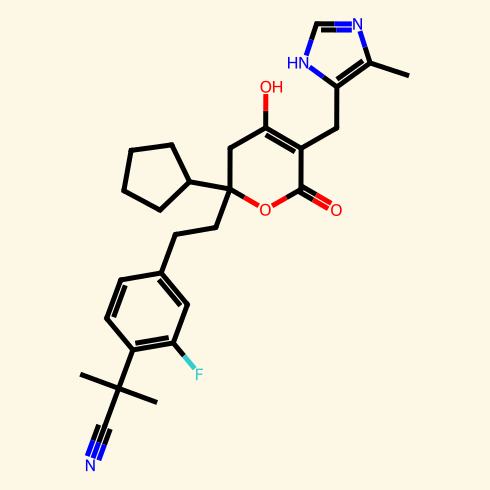 Cc1nc[nH]c1CC1=C(O)CC(CCc2ccc(C(C)(C)C#N)c(F)c2)(C2CCCC2)OC1=O